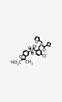 CCN(c1ccc(Cl)cc1CN(Cc1ccco1)C(=O)C1CCC1)S(=O)(=O)c1ccc2oc(C(=O)O)c(C)c2c1